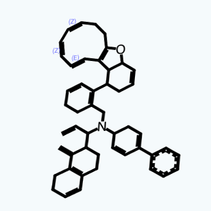 C=CC(C1CCC2=C(CCC=C2)C1=C)N(CC1=C(C2CC=CC3OC4=C(/C=C/C=C\C=C/CC4)C32)C=CCC1)C1C=CC(c2ccccc2)=CC1